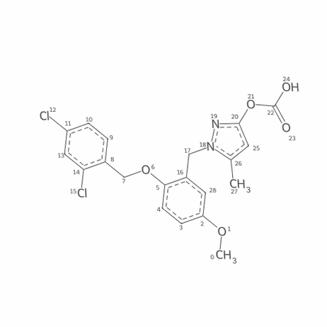 COc1ccc(OCc2ccc(Cl)cc2Cl)c(Cn2nc(OC(=O)O)cc2C)c1